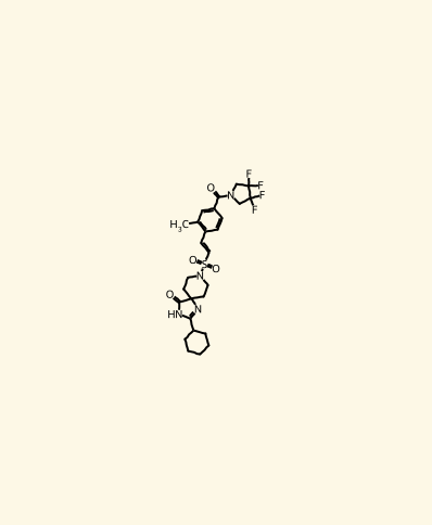 Cc1cc(C(=O)N2CC(F)(F)C(F)(F)C2)ccc1/C=C/S(=O)(=O)N1CCC2(CC1)N=C(C1CCCCC1)NC2=O